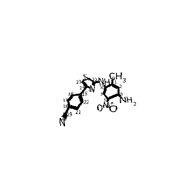 Cc1cc(N)c([N+](=O)[O-])cc1Nc1nc(-c2ccc(C#N)cc2)cs1